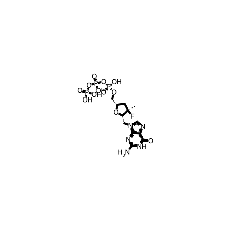 C[C@@]1(F)C[C@@H](COP(=O)(O)OP(=O)(O)OP(=O)(O)O)O[C@H]1Cn1cnc2c(=O)[nH]c(N)nc21